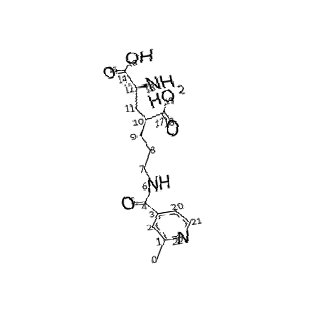 Cc1cc(C(=O)NCCC[C@@H](C[C@H](N)C(=O)O)C(=O)O)ccn1